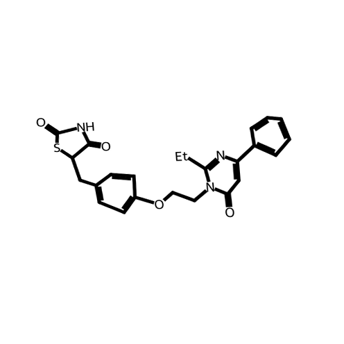 CCc1nc(-c2ccccc2)cc(=O)n1CCOc1ccc(CC2SC(=O)NC2=O)cc1